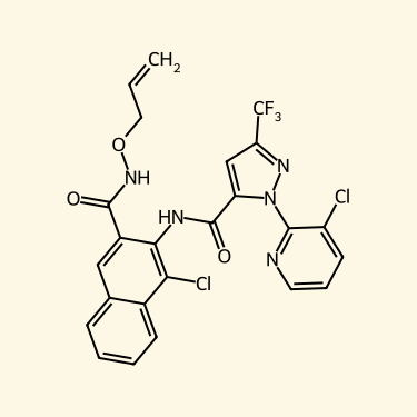 C=CCONC(=O)c1cc2ccccc2c(Cl)c1NC(=O)c1cc(C(F)(F)F)nn1-c1ncccc1Cl